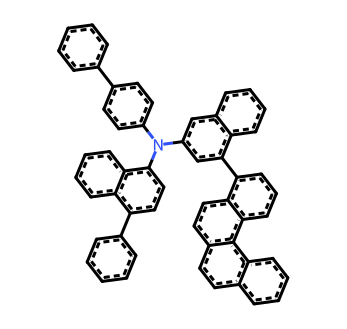 c1ccc(-c2ccc(N(c3cc(-c4cccc5c4ccc4ccc6ccccc6c45)c4ccccc4c3)c3ccc(-c4ccccc4)c4ccccc34)cc2)cc1